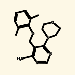 Cc1cccc(C)c1OCc1c(N)ncnc1N1CCOCC1